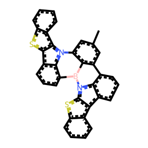 Cc1cc2c3c(c1)-n1c4c(cccc4c4sc5ccccc5c41)B3n1c3sc4ccccc4c3c3cccc-2c31